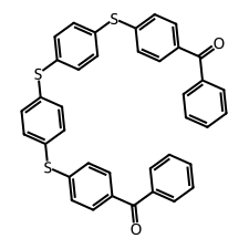 O=C(c1ccccc1)c1ccc(Sc2ccc(Sc3ccc(Sc4ccc(C(=O)c5ccccc5)cc4)cc3)cc2)cc1